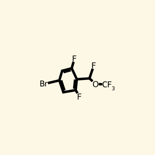 Fc1cc(Br)cc(F)c1C(F)OC(F)(F)F